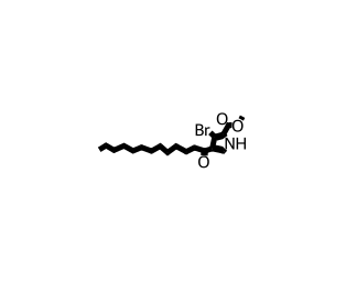 CCCCCCCCCCCCC(=O)c1c[nH]c(C(=O)OC)c1Br